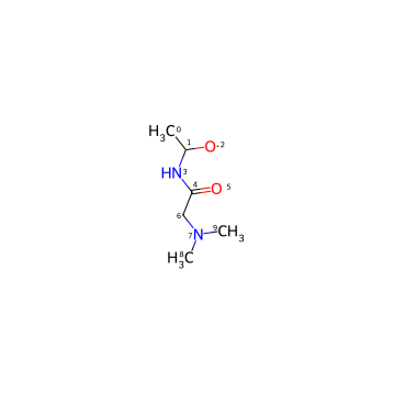 CC([O])NC(=O)CN(C)C